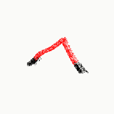 [Bi+3].[Bi+3].[Bi+3].[Bi+3].[Bi+3].[Bi+3].[Bi+3].[Bi+3].[Bi+3].[Bi+3].[Bi+3].[Bi+3].[Bi+3].[Bi+3].[Bi+3].[Bi+3].[Bi+3].[O-2].[O-2].[O-2].[O-2].[O-2].[O-2].[O-2].[O-2].[O-2].[O-2].[O-2].[O-2].[O-2].[O-2].[O-2].[O-2].[O-2].[O-2].[O-2].[O-2].[O-2].[O-2].[O-2].[O-2].[O-2].[O-2].[O-2].[O-2].[O-2].[O-2].[O-2].[O-2].[O-2].[O-2].[O-2].[O-2].[O-2].[O-2].[O-2].[O-2].[O-2].[O-2].[O-2].[O-2].[O-2].[O-2].[O-2].[O-2].[O-2].[O-2]